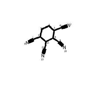 N#CC1CCC(C#N)C(C#N)C1C#N